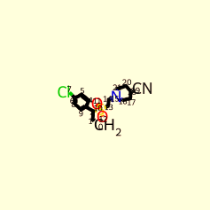 C=CC(c1ccc(Cl)cc1)S(=O)(=O)CCN1CCC(C#N)CC1